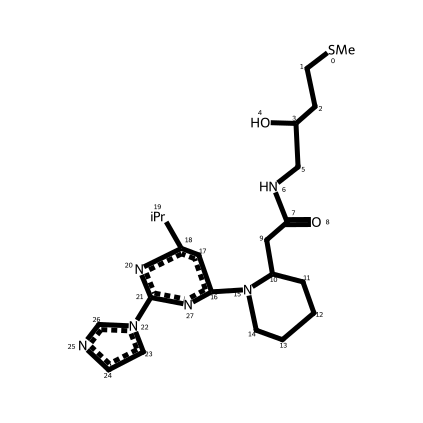 CSCCC(O)CNC(=O)CC1CCCCN1c1cc(C(C)C)nc(-n2ccnc2)n1